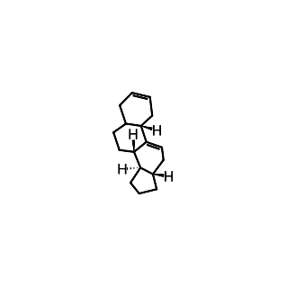 C1=CC[C@@H]2C3=CC[C@@H]4CCC[C@H]4[C@@H]3CCC2C1